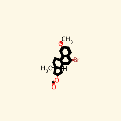 COc1ccc2c(Br)cc3c(c2c1)CC[C@]1(C)C[C@@H](OC=O)C[C@@H]31